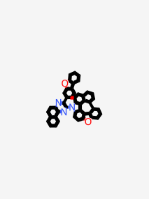 c1ccc2c(c1)ccc1nc(-c3ccc4c(c3)oc3ccccc34)c(-n3c4ccc5cccc6c5c4c4c5c(ccc43)oc3cccc-6c35)nc12